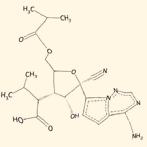 CC(C)C(=O)OCC1O[C@@](C#N)(c2ccc3c(N)ncnn23)[C@H](O)[C@@H]1C(C(=O)O)C(C)C